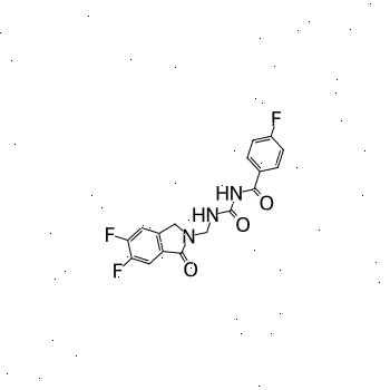 O=C(NCN1Cc2cc(F)c(F)cc2C1=O)NC(=O)c1ccc(F)cc1